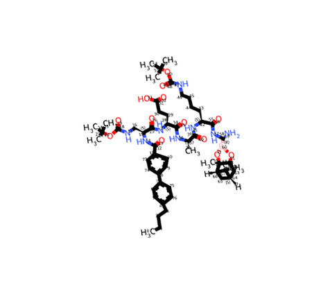 CCCCc1ccc(-c2ccc(C(=O)N[C@@H](CNC(=O)OC(C)(C)C)C(=O)N[C@@H](CCC(=O)O)C(=O)N[C@@H](C)C(=O)N[C@@H](CCCCNC(=O)OC(C)(C)C)C(=O)N[C@@H](N)B3OC4C[C@@H]5C[C@@H](C5(C)C)[C@]4(C)O3)cc2)cc1